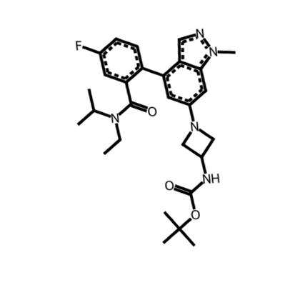 CCN(C(=O)c1cc(F)ccc1-c1cc(N2CC(NC(=O)OC(C)(C)C)C2)cc2c1cnn2C)C(C)C